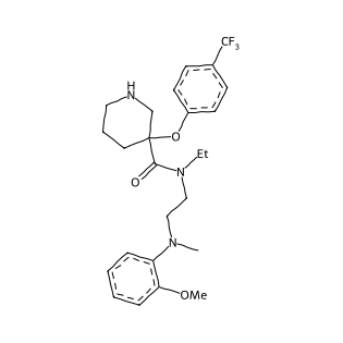 CCN(CCN(C)c1ccccc1OC)C(=O)C1(Oc2ccc(C(F)(F)F)cc2)CCCNC1